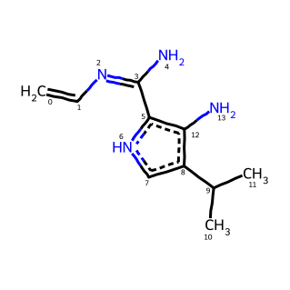 C=C/N=C(/N)c1[nH]cc(C(C)C)c1N